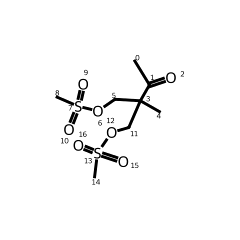 CC(=O)C(C)(COS(C)(=O)=O)COS(C)(=O)=O